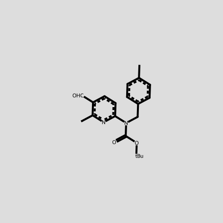 Cc1ccc(CN(C(=O)OC(C)(C)C)c2ccc(C=O)c(C)n2)cc1